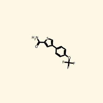 NC(=O)c1cc(-c2ccc(OC(F)(F)F)cc2)cs1